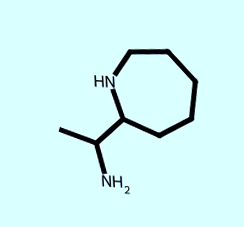 CC(N)C1CCCCCN1